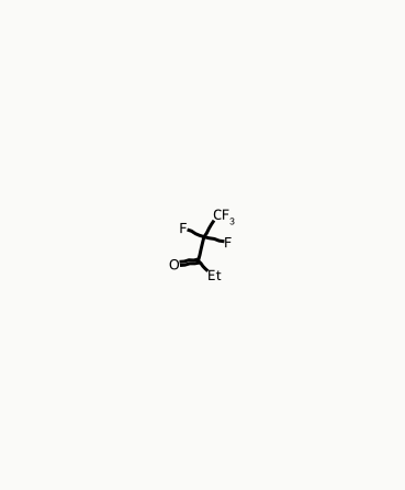 CCC(=O)C(F)(F)C(F)(F)F